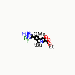 CCOCC(=O)c1cn2c(cc1=O)-c1cc(OC)c(/C(=C/NC(F)F)CN)cc1CC2C(C)(C)C